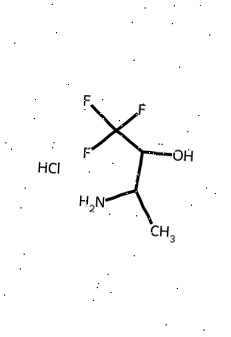 CC(N)C(O)C(F)(F)F.Cl